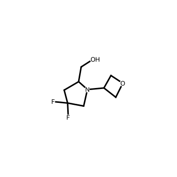 OCC1CC(F)(F)CN1C1COC1